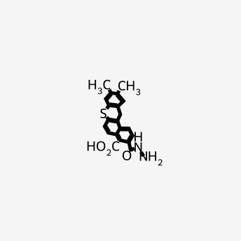 Cc1cc2c(cc1C)Sc1ccc3c(C(=O)O)c(C(=O)NN)ccc3c1C2